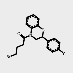 O=C(CCCBr)N1CC(c2ccc(Cl)cc2)Sc2ccccc21